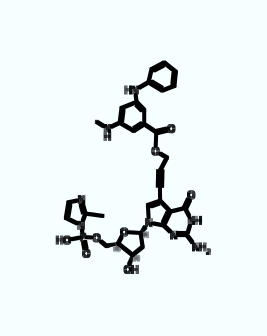 CNc1cc(Nc2ccccc2)cc(C(=O)OCC#Cc2cn([C@H]3C[C@@H](O)[C@@H](COP(=O)(O)n4ccnc4C)O3)c3nc(N)[nH]c(=O)c23)c1